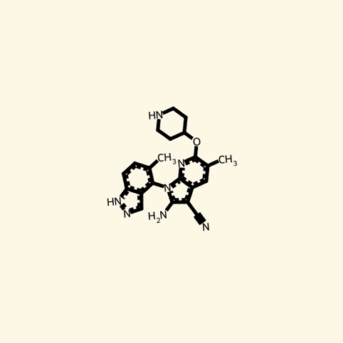 Cc1cc2c(C#N)c(N)n(-c3c(C)ccc4[nH]ncc34)c2nc1OC1CCNCC1